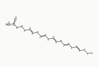 CCCC=CCC=CCC=CCC=CCC=CCCCC(=O)O